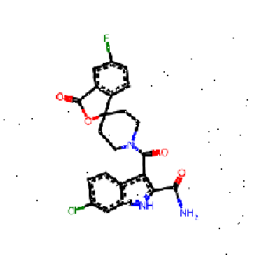 NC(=O)c1[nH]c2cc(Cl)ccc2c1C(=O)N1CCC2(CC1)OC(=O)c1cc(F)ccc12